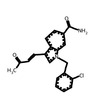 CC(=O)C=Cc1cn(Cc2ccccc2Cl)c2cc(C(N)=O)ccc12